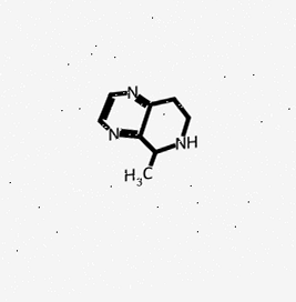 CC1NCCc2nccnc21